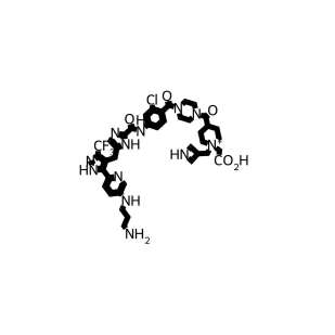 NCCCNc1ccc(-c2[nH]nc(C(F)(F)F)c2Cc2cnc(C(=O)Nc3ccc(C(=O)N4CCN(C(=O)C5CC[N+](CC(=O)O)(CC6CNC6)CC5)CC4)c(Cl)c3)[nH]2)nc1